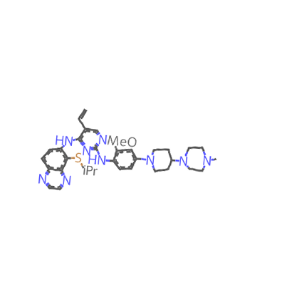 C=Cc1cnc(Nc2ccc(N3CCC(N4CCN(C)CC4)CC3)cc2OC)nc1Nc1ccc2nccnc2c1SC(C)C